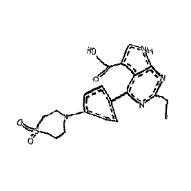 CCc1nc(-c2ccc(N3CCS(=O)(=O)CC3)cc2)c2c(C(=O)O)c[nH]c2n1